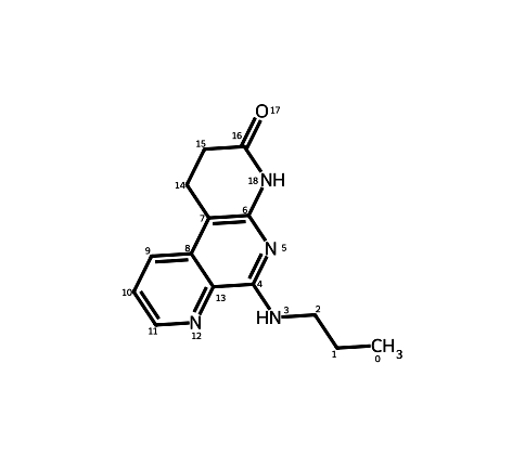 CCCNc1nc2c(c3cccnc13)CCC(=O)N2